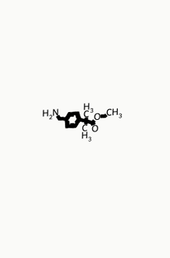 CCOC(=O)C(C)(C)c1ccc(CN)cc1